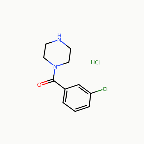 Cl.O=C(c1cccc(Cl)c1)N1CCNCC1